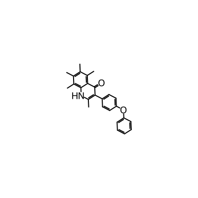 Cc1[nH]c2c(C)c(C)c(C)c(C)c2c(=O)c1-c1ccc(Oc2ccccc2)cc1